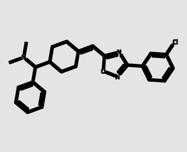 CN(C)C(c1ccccc1)C1CCC(=Cc2nc(-c3cccc(Cl)c3)no2)CC1